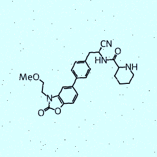 COCCn1c(=O)oc2ccc(-c3ccc(C[C@@H](C#N)NC(=O)C4CCCCN4)cc3)cc21